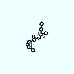 Cc1nc(-c2ccc(-c3ccccc3)cc2)c2c3c(sc2c1/C=C\Cc1ccc(-c2ccc4ccc5ccc(-c6ccccc6)nc5c4n2)cc1)=CCCC=3